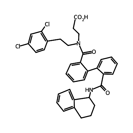 O=C(O)CCN(CCc1ccc(Cl)cc1Cl)C(=O)c1ccccc1-c1ccccc1C(=O)NC1CCCc2ccccc21